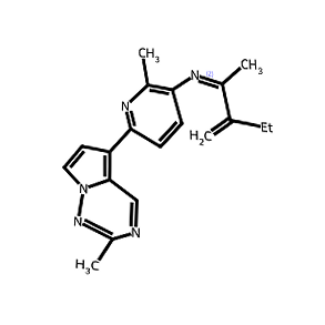 C=C(CC)/C(C)=N\c1ccc(-c2ccn3nc(C)ncc23)nc1C